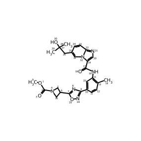 COC(=O)N1CC(c2nc(-c3ccc(C)c(NC(=O)c4cnc5ccc(CC(C)(C)O)cn45)c3)no2)C1